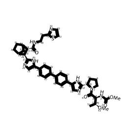 COC(=O)N[C@H](C(=O)N1CCC[C@H]1c1ncc(-c2ccc(-c3ccc(-c4cnc([C@H]5C6CCC(C6)[C@@H]5C(=O)NCCc5nccs5)[nH]4)cc3)cc2)[nH]1)[C@@H](C)OC